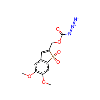 COc1cc2c(cc1OC)S(=O)(=O)C(COC(=O)N=[N+]=[N-])=C2